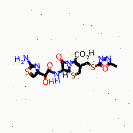 Cc1nnc(SCC2=C(C(=O)O)N3C(=O)C(NC(=O)C(O)c4csc(N)n4)[C@@H]3SC2)o1